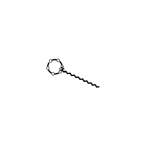 CCCCCCCCCCCCCCCC/C=C/[Si]1(C)OCCOCCOCCOCCOCCO1